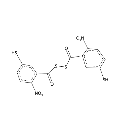 O=C(SSC(=O)c1cc(S)ccc1[N+](=O)[O-])c1cc(S)ccc1[N+](=O)[O-]